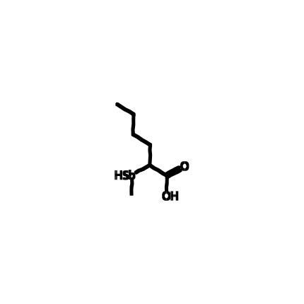 CCCC[CH]([SbH][CH3])C(=O)O